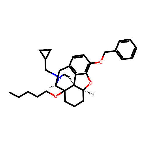 CCCCCOC12CCC[C@@H]3Oc4c(OCc5ccccc5)ccc5c4[C@@]31CCN(CC1CC1)[C@@H]2C5